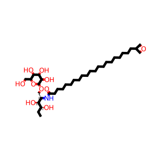 CC[C@@H](O)[C@@H](O)[C@H](COC1OC(CO)C(O)C(O)C1O)NC(=O)CCCCCCCCCCCCCCCCCCCCC1COC1